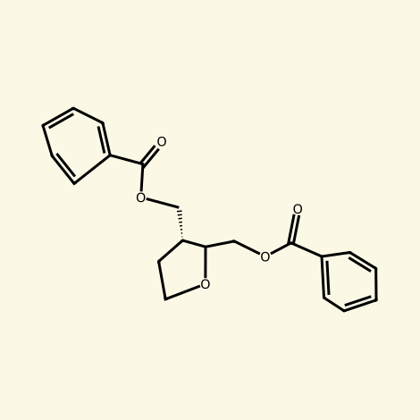 O=C(OCC1OCC[C@@H]1COC(=O)c1ccccc1)c1ccccc1